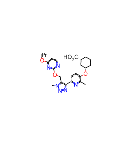 Cc1nc(-c2nnn(C)c2COc2nccc(OC(C)C)n2)ccc1O[C@H]1CCC[C@@H](C(=O)O)C1